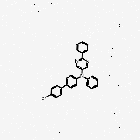 Brc1ccc(-c2ccc(N(c3ccccc3)c3cnc(-c4ccccc4)nc3)cc2)cc1